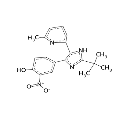 Cc1cccc(-c2[nH]c(C(C)(C)C)nc2-c2ccc(O)c([N+](=O)[O-])c2)n1